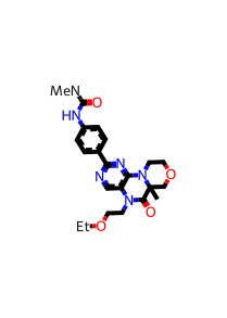 CCOCCN1C(=O)C2(C)COCCN2c2nc(-c3ccc(NC(=O)NC)cc3)ncc21